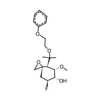 CO[C@@H]1[C@H](O)[C@@H](F)C[C@]2(CO2)[C@H]1C(C)(C)OCCOc1ccccc1